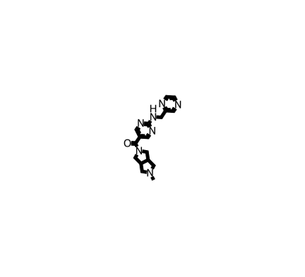 CN1CC2CN(C(=O)c3cnc(NCc4cnccn4)nc3)CC2C1